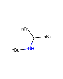 [CH2]C(CC)C(CCC)NCCCC